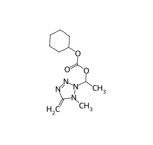 C=C1N=NN(C(C)OC(=O)OC2CCCCC2)N1C